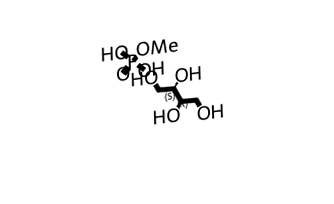 COP(=O)(O)O.OC[C@@H](O)[C@@H](O)CO